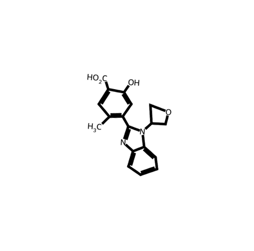 Cc1cc(C(=O)O)c(O)cc1-c1nc2ccccc2n1C1COC1